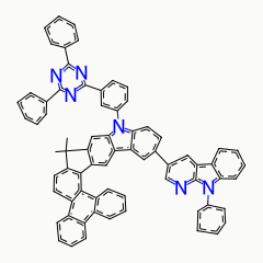 CC1(C)c2cc3c(cc2-c2c1ccc1c4ccccc4c4ccccc4c21)c1cc(-c2cnc4c(c2)c2ccccc2n4-c2ccccc2)ccc1n3-c1cccc(-c2nc(-c3ccccc3)nc(-c3ccccc3)n2)c1